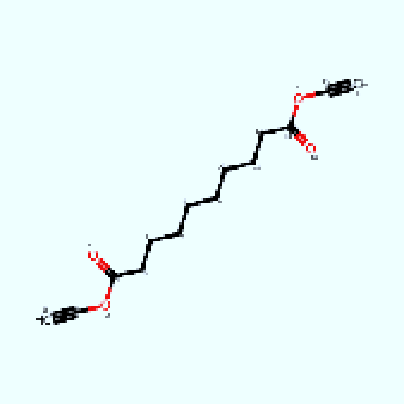 C#COC(=O)CCCCCCCCC(=O)OC#C